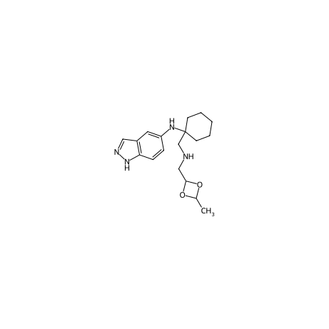 CC1OC(CNCC2(Nc3ccc4[nH]ncc4c3)CCCCC2)O1